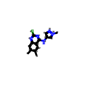 Cc1cc2nc(Cl)nc(Nc3cnn(C)c3)c2cc1C